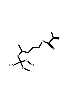 C=C(C)C(=O)OCCCC(C)OC([SiH3])(OCC)OCC